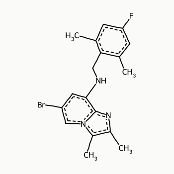 Cc1cc(F)cc(C)c1CNc1cc(Br)cn2c(C)c(C)nc12